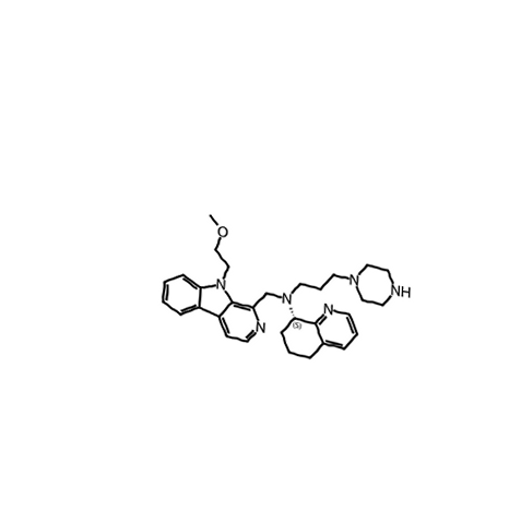 COCCn1c2ccccc2c2ccnc(CN(CCCN3CCNCC3)[C@H]3CCCc4cccnc43)c21